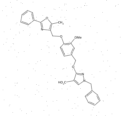 COc1cc(COc2nn(Cc3ccccc3)cc2C(=O)O)ccc1OCc1nc(-c2ccccc2)oc1C